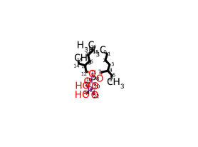 CCCCC(CC)COP(=O)(OCC(CC)CCCC)OP(=O)(O)O